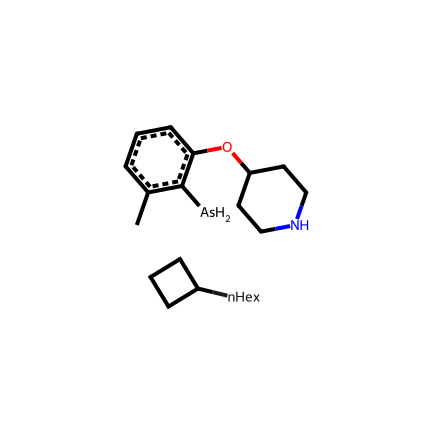 CCCCCCC1CCC1.Cc1cccc(OC2CCNCC2)c1[AsH2]